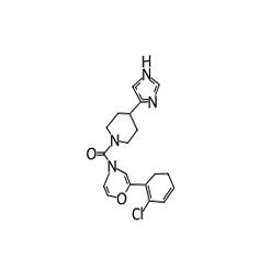 O=C(N1C=COC(C2=C(Cl)C=CCC2)=C1)N1CCC(c2c[nH]cn2)CC1